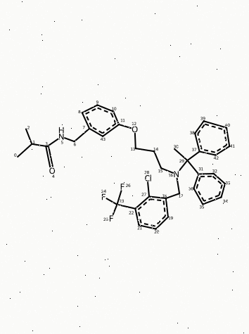 CC(C)C(=O)NCc1cccc(OCCCN(Cc2cccc(C(F)(F)F)c2Cl)C(C)(c2ccccc2)c2ccccc2)c1